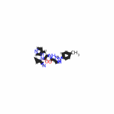 Cc1ccc(-n2ncc(C(=O)N[C@@H](Cc3ccncc3)C(=O)NC3(C#N)CC3)n2)cc1